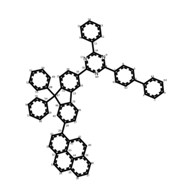 c1ccc(-c2ccc(-c3nc(-c4ccccc4)nc(-c4ccc5c(c4)-c4ccc(-c6ccc7ccc8cccc9ccc6c7c89)cc4C5(c4ccccc4)c4ccccc4)n3)cc2)cc1